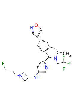 CC1Cc2cc(-c3cnoc3)ccc2C(c2ccc(NC3CN(CCCF)C3)cn2)N1CC(F)(F)F